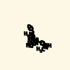 Cc1n[nH]c2ccc(-c3nnc(NCC(N)CC4CCOCC4)s3)cc12.O=C(O)C(F)(F)F